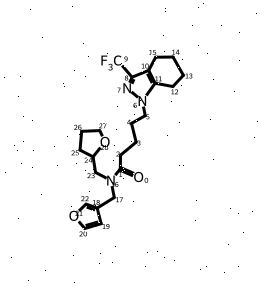 O=C(CCCCn1nc(C(F)(F)F)c2c1CCCC2)N(Cc1ccoc1)CC1CCCO1